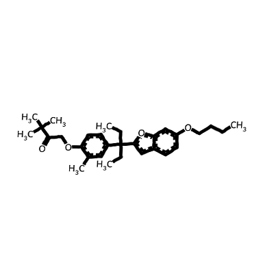 CCCCOc1ccc2cc(C(CC)(CC)c3ccc(OCC(=O)C(C)(C)C)c(C)c3)oc2c1